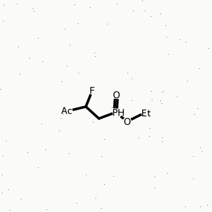 CCO[PH](=O)CC(F)C(C)=O